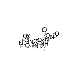 CC(C)C[C@H](NC(=O)[C@H](CCc1ccccc1)N(C)C(=O)CN1CCOCC1)C(=O)N(C)[C@@H](Cc1ccc(C(F)(F)F)cc1)C(=O)NCC(=O)[C@@]1(C)CO1